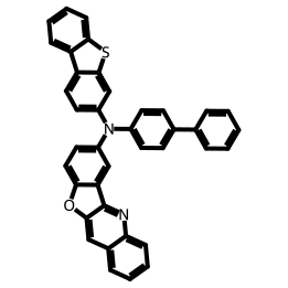 c1ccc(-c2ccc(N(c3ccc4c(c3)sc3ccccc34)c3ccc4oc5cc6ccccc6nc5c4c3)cc2)cc1